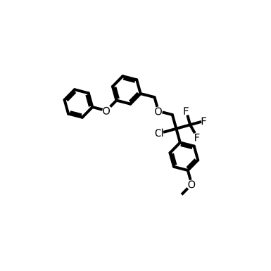 COc1ccc(C(Cl)(COCc2cccc(Oc3ccccc3)c2)C(F)(F)F)cc1